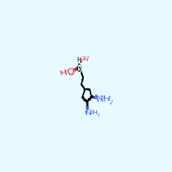 NC1CC(CC[SiH](O)O)CC1N